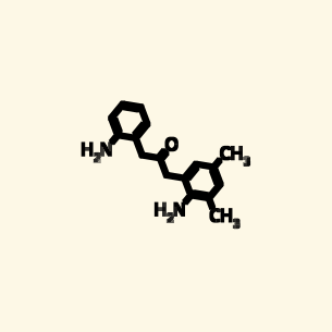 Cc1cc(C)c(N)c(CC(=O)Cc2ccccc2N)c1